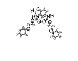 Cc1ccc(NC(=O)OCCOc2ccccc2)cc1NC(=O)OCCOc1ccccc1